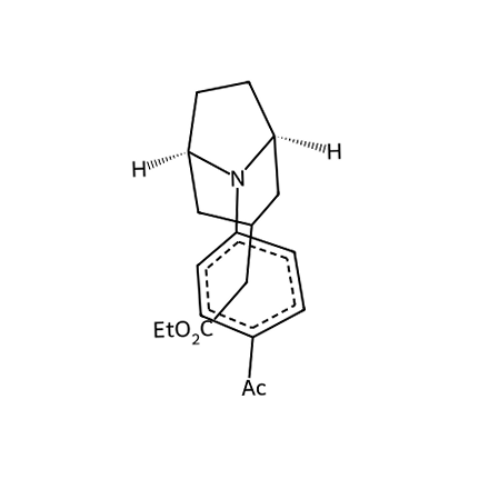 CCOC(=O)CC1C[C@H]2CC[C@@H](C1)N2c1ccc(C(C)=O)cc1